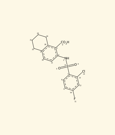 O=C(O)c1c(NS(=O)(=O)c2ccc(F)cc2Cl)ccc2c1CCCC2